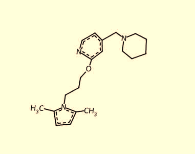 Cc1ccc(C)n1CCCOc1cc(CN2CCCCC2)ccn1